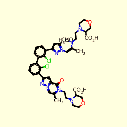 C/C(=C/n1nc(-c2cccc(-c3cccc(-c4cc5c(=O)n(CCN6CCOCC6C(=O)O)c(C)cn5n4)c3Cl)c2Cl)cc1C=O)N(C)CCN1CCOCC1C(=O)O